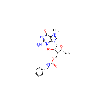 C[C@H]1O[C@@H](n2c[n+](C)c3c(=O)[nH]c(N)nc32)[C@H](O)[C@@H]1COC(=O)NCc1ccccc1